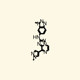 Cn1cc(-c2nccn3nc(Nc4ccc5nnn(C)c5c4)nc23)cn1